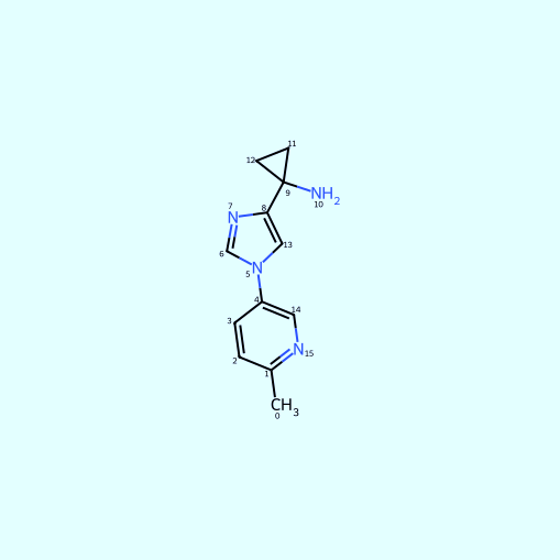 Cc1ccc(-n2cnc(C3(N)CC3)c2)cn1